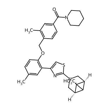 Cc1ccc(OCc2ccc(C(=O)N3CCCCC3)cc2C)c(-c2csc(N3C[C@@H]4C5[C@H](C3)[C@]54C(=O)O)n2)c1